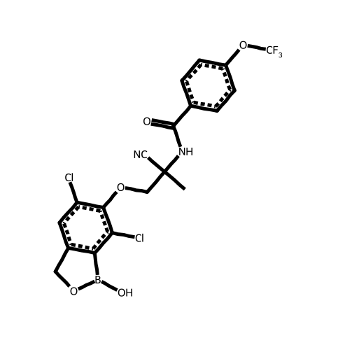 CC(C#N)(COc1c(Cl)cc2c(c1Cl)B(O)OC2)NC(=O)c1ccc(OC(F)(F)F)cc1